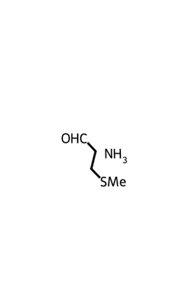 CSCCC=O.N